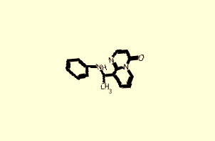 CC(Nc1ccccc1)c1cccn2c(=O)ccnc12